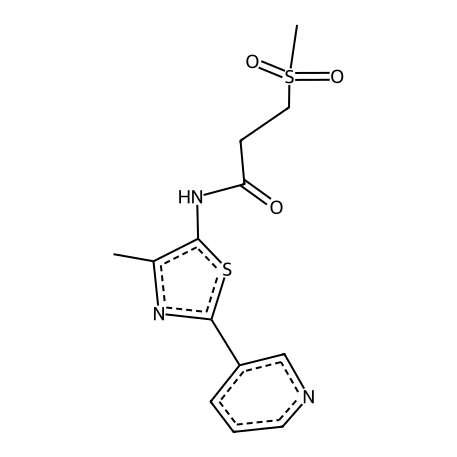 Cc1nc(-c2cccnc2)sc1NC(=O)CCS(C)(=O)=O